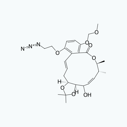 COCOc1ccc(OCCN=[N+]=[N-])c2c1C(=O)O[C@@H](C)[C@H](C)/C=C\C(O)[C@H]1OC(C)(C)O[C@H]1C/C=C/2